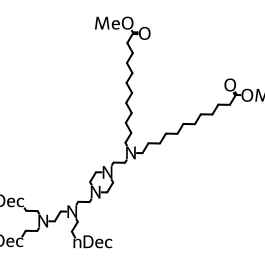 CCCCCCCCCCCCN(CCCCCCCCCCCC)CCN(CCCCCCCCCCCC)CCN1CCN(CCN(CCCCCCCCCCCC(=O)OC)CCCCCCCCCCCC(=O)OC)CC1